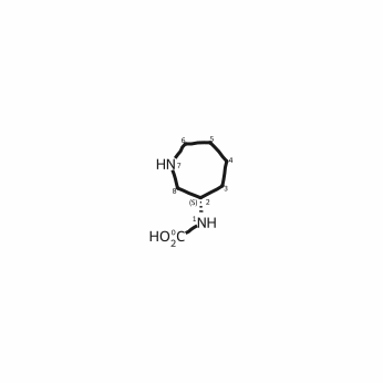 O=C(O)N[C@H]1CCCCNC1